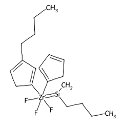 CCCCC1=CC[C]([Zr]([F])([F])([F])([C]2=CC=CC2)=[Si](C)CCCC)=C1